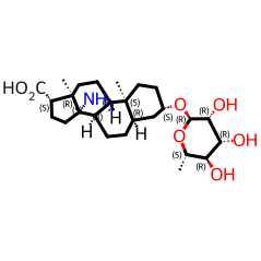 C[C@@H]1O[C@@H](O[C@H]2CC[C@@]3(C)[C@H](CC[C@@H]4[C@@H]3CC[C@]3(C)[C@@H](C(=O)O)CC[C@]43N)C2)[C@H](O)[C@H](O)[C@H]1O